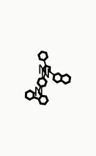 c1ccc(-c2cc(-c3ccc4ccccc4c3)n(-c3ccc(-n4c5ccccc5c5ccccc54)cc3)n2)cc1